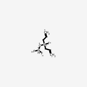 C=CC[Si](F)(CC=C)O[SiH](F)F